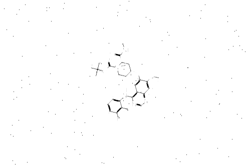 CNC(=O)[C@H]1C[C@H](Oc2cc3c(Nc4cccc(Cl)c4F)ncnc3cc2OC)CCN1C(=O)OC(C)(C)C